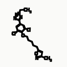 CCn1nnc(-c2cc(Cl)c(OCCCCCc3cc(C)no3)c(Cl)c2)n1